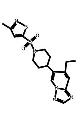 CCc1cc2ncnn2cc1C1CCN(S(=O)(=O)c2cc(C)ns2)CC1